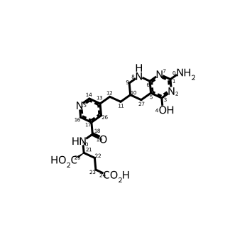 Nc1nc(O)c2c(n1)NCC(CCc1cncc(C(=O)N[C@@H](CCC(=O)O)C(=O)O)c1)C2